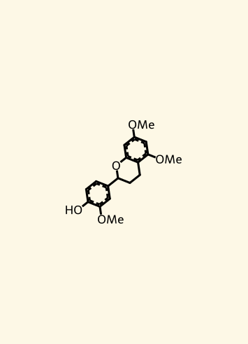 COc1cc(OC)c2c(c1)OC(c1ccc(O)c(OC)c1)CC2